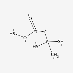 CC(S)(S)CC(=O)OS